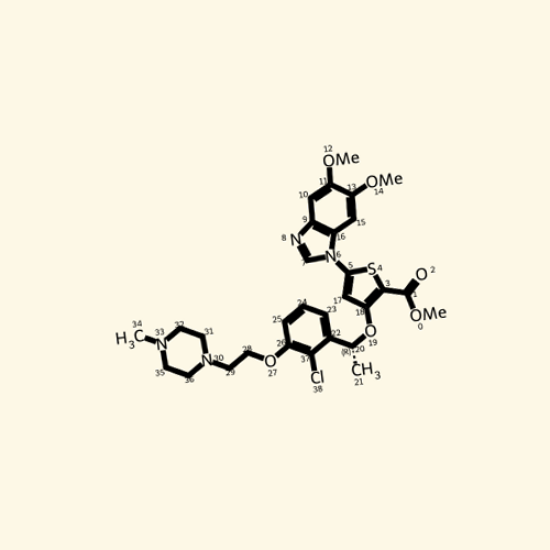 COC(=O)c1sc(-n2cnc3cc(OC)c(OC)cc32)cc1O[C@H](C)c1cccc(OCCN2CCN(C)CC2)c1Cl